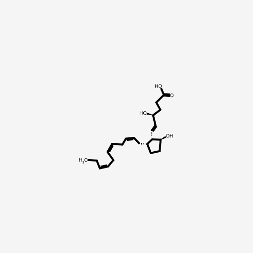 CC/C=C\C/C=C\C/C=C\C[C@H]1CC[C@H](O)[C@H]1/C=C/[C@@H](O)CCC(=O)O